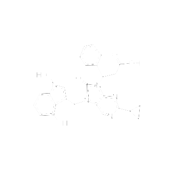 Cc1cccc2c1c(Cn1c(=O)n(C(CC(=O)O)c3ccccc3)c3nc(C4CC4)ncc31)cn2C